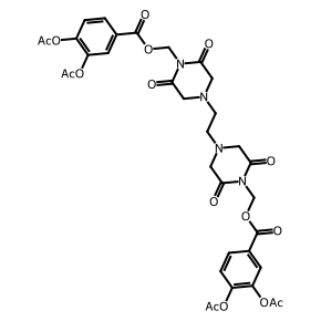 CC(=O)Oc1ccc(C(=O)OCN2C(=O)CN(CCN3CC(=O)N(COC(=O)c4ccc(OC(C)=O)c(OC(C)=O)c4)C(=O)C3)CC2=O)cc1OC(C)=O